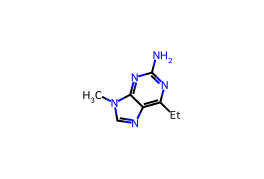 CCc1nc(N)nc2c1ncn2C